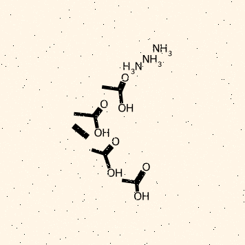 C=C.CC(=O)O.CC(=O)O.CC(=O)O.CC(=O)O.N.N.N